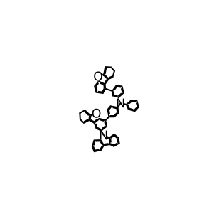 C1=c2oc3c(-c4ccc(N(c5ccccc5)c5cccc(-c6cccc7oc8c(c67)=CCCC=8)c5)cc4)cc(-n4c5ccccc5c5ccccc54)cc3c2=CCC1